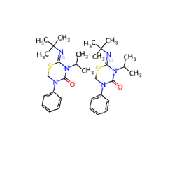 CC(C)N1C(=O)N(c2ccccc2)CS/C1=N\C(C)(C)C.CC(C)N1C(=O)N(c2ccccc2)CS/C1=N\C(C)(C)C